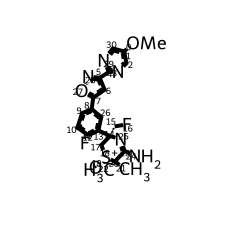 COc1cnc(-c2cc(-c3ccc(F)c([C@]4(CF)C[S@@+]([O-])C(C)(C)C(N)=N4)c3)on2)nc1